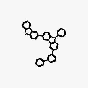 c1ccc(-c2cccc(-c3ccc4c(c3)c3cc(-c5ccc6oc7ccccc7c6c5)ccc3n4-c3ccccc3)c2)cc1